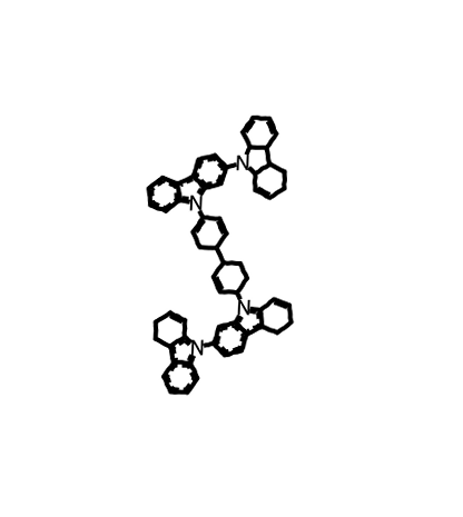 C1=CC2C3CCC=CC3N(c3ccc4c5ccccc5n(C5=CCC(C6C=CC(n7c8c(c9ccc(-n%10c%11c(c%12ccccc%12%10)CCC=C%11)cc97)CCC=C8)CC6)C=C5)c4c3)C2C=C1